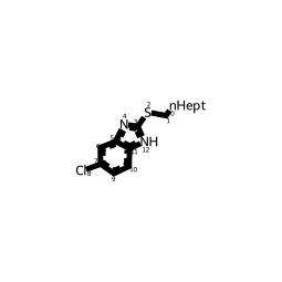 CCCCCCCCSc1nc2cc(Cl)ccc2[nH]1